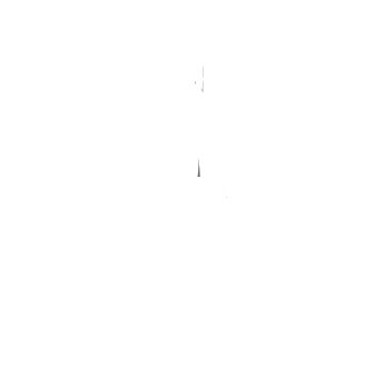 Cc1ccc2cc([C@@H]3CCN[C@@H](C)C3)sc2c1